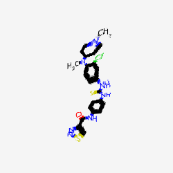 CN1CCC(N(C)c2ccc(NC(=S)Nc3ccc(NC(=O)c4csnn4)cc3)cc2Cl)CC1